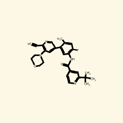 C#Cc1ncc(-c2cc(NC(=O)c3ccnc(C(C)(C)C)c3)c(F)cc2C)cc1N1CCOCC1